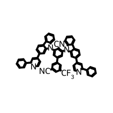 N#Cc1cc(-c2cc(-n3c4ccccc4c4ccc(-c5ccnc(-c6ccccc6)c5)cc43)c(C#N)c(-n3c4ccccc4c4ccc(-c5ccnc(-c6ccccc6)c5)cc43)c2)cc(C(F)(F)F)c1